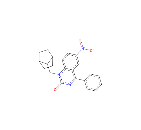 O=c1nc(-c2ccccc2)c2cc([N+](=O)[O-])ccc2n1CC1C2CCC1CC2